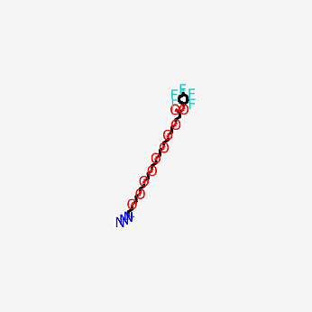 [N-]=[N+]=NCCOCCOCCOCCOCCOCCOCCOCCOCCC(=O)Oc1c(F)c(F)c(F)c(F)c1F